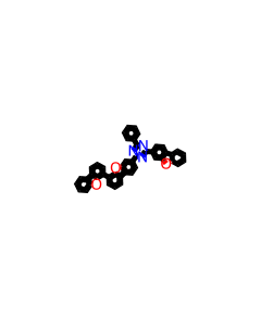 C1=CC2Oc3cc(-c4nc(-c5ccccc5)nc(-c5ccc6c(c5)oc5c(-c7cccc8c7oc7ccccc78)cccc56)n4)ccc3C2C=C1